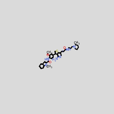 COc1cc(-c2csc3c(/C=C/C(=O)NCCCN4CCCC[C@H]4C)cnc(N)c23)ccc1NC(=O)c1cc2ccccc2n1C